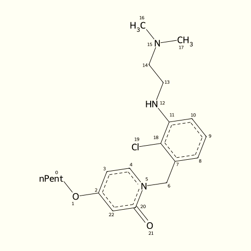 CCCCCOc1ccn(Cc2cccc(NCCN(C)C)c2Cl)c(=O)c1